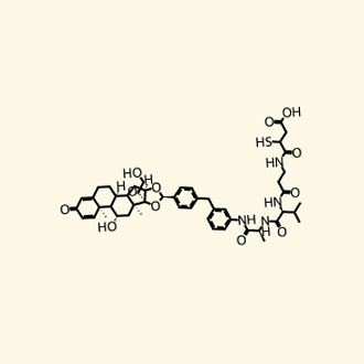 CC(C)[C@H](NC(=O)CCNC(=O)C(S)CC(=O)O)C(=O)N[C@@H](C)C(=O)Nc1cccc(Cc2ccc([C@@H]3O[C@@H]4CC5[C@@H]6CCC7=CC(=O)C=C[C@]7(C)C6[C@@H](O)C[C@]5(C)[C@]4(C(=O)CO)O3)cc2)c1